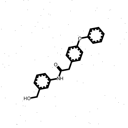 O=C(Cc1ccc(Oc2ccccc2)cc1)Nc1cccc(CO)c1